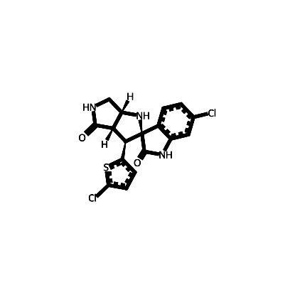 O=C1NC[C@@H]2N[C@@]3(C(=O)Nc4cc(Cl)ccc43)[C@@H](c3ccc(Cl)s3)[C@H]12